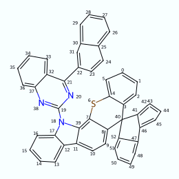 c1ccc2c(c1)Sc1c(ccc3c4ccccc4n(-c4nc(-c5ccc6ccccc6c5)c5ccccc5n4)c13)C21c2ccccc2-c2ccccc21